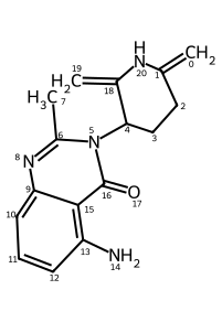 C=C1CCC(n2c(C)nc3cccc(N)c3c2=O)C(=C)N1